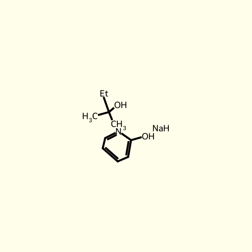 CCC(C)(C)O.Oc1ccccn1.[NaH]